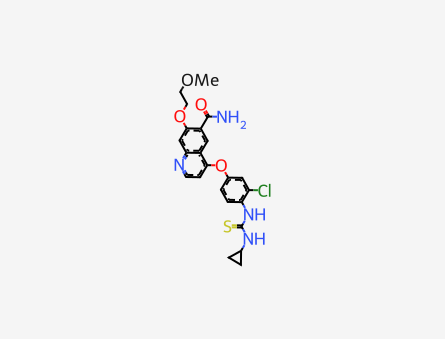 COCCOc1cc2nccc(Oc3ccc(NC(=S)NC4CC4)c(Cl)c3)c2cc1C(N)=O